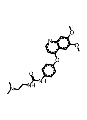 COc1cc2nccc(Oc3ccc(NC(=O)NCCN(C)C)cc3)c2cc1OC